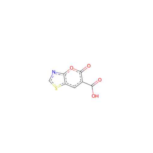 O=C(O)c1cc2scnc2oc1=O